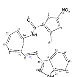 Cc1cc([N+](=O)[O-])sc1C(=O)Nc1ccccc1/C=C/c1n[nH]c2ccccc12